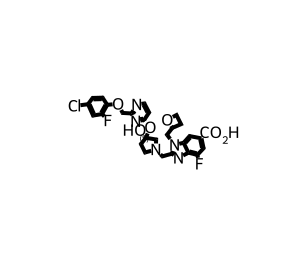 O=C(O)c1cc(F)c2nc(CN3CC[C@](O)(Oc4ccnc(COc5ccc(Cl)cc5F)n4)C3)n(CC3CCO3)c2c1